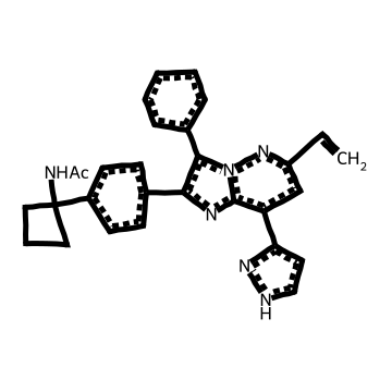 C=Cc1cc(-c2cc[nH]n2)c2nc(-c3ccc(C4(NC(C)=O)CCC4)cc3)c(-c3ccccc3)n2n1